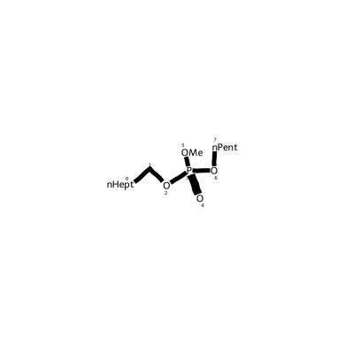 CCCCCCCCOP(=O)(OC)OCCCCC